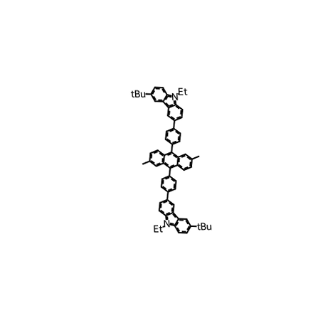 CCn1c2ccc(-c3ccc(-c4c5ccc(C)cc5c(-c5ccc(-c6ccc7c(c6)c6cc(C(C)(C)C)ccc6n7CC)cc5)c5ccc(C)cc45)cc3)cc2c2cc(C(C)(C)C)ccc21